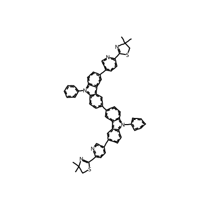 CC1(C)CSC(c2ccc(-c3ccc4c(c3)c3cc(-c5ccc6c(c5)c5cc(-c7ccc(C8=NC(C)(C)CS8)nc7)ccc5n6-c5ccccc5)ccc3n4-c3ccccc3)cn2)=N1